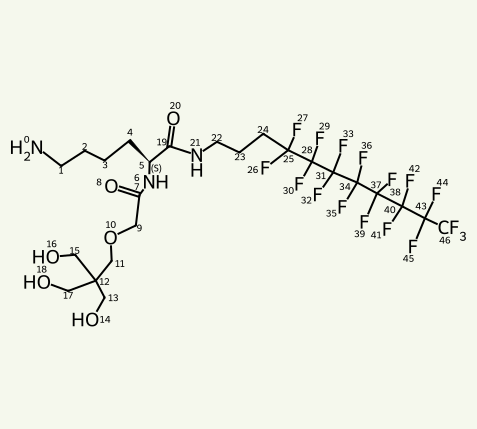 NCCCC[C@H](NC(=O)COCC(CO)(CO)CO)C(=O)NCCCC(F)(F)C(F)(F)C(F)(F)C(F)(F)C(F)(F)C(F)(F)C(F)(F)C(F)(F)F